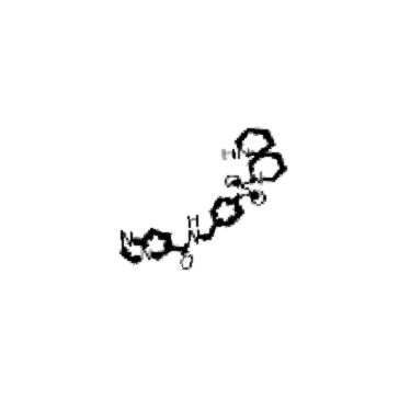 O=C(NCc1ccc(S(=O)(=O)N2CCCC3(CCCCN3)C2)cc1)c1ccc2nccn2c1